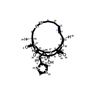 CC(C)[C@H]1NC(=O)[C@H]2CSSCC/C=C/[C@H](CC(=O)N[C@H](Cc3cscn3)C(=O)N2)OC(=O)C[C@@H]1O